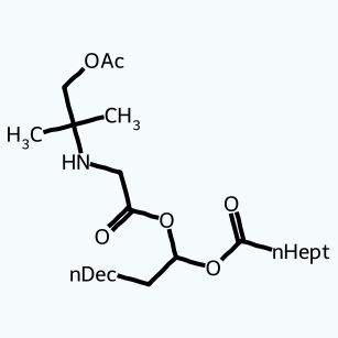 CCCCCCCCCCCC(OC(=O)CCCCCCC)OC(=O)CNC(C)(C)COC(C)=O